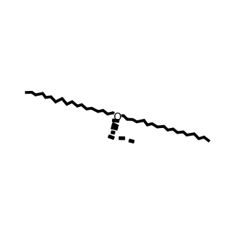 C=C.C=C.C=C.C=C.C=C.C=C.C=C.CCCCCCCCCCCCCCCCCCOCCCCCCCCCCCCCCCCCC